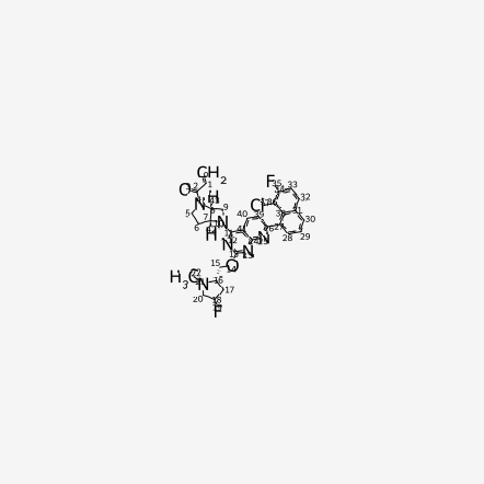 C=CC(=O)N1CC[C@@H]2[C@H]1CN2c1nc(OC[C@@H]2C[C@@H](F)CN2C)nc2nc(-c3cccc4ccc(F)c(Cl)c34)ccc12